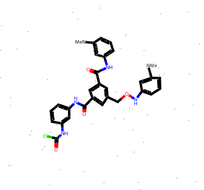 CNc1cccc(NOCc2cc(C(=O)Nc3cccc(NC)c3)cc(C(=O)Nc3cccc(NC(=O)Cl)c3)c2)c1